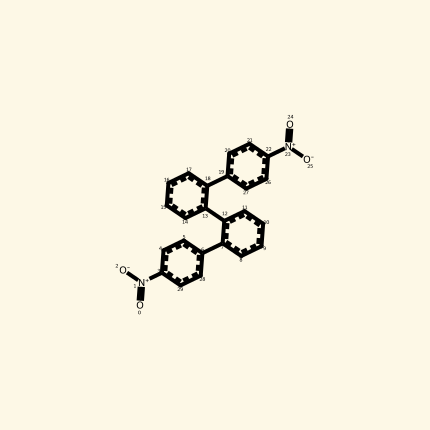 O=[N+]([O-])c1ccc(-c2ccccc2-c2ccccc2-c2ccc([N+](=O)[O-])cc2)cc1